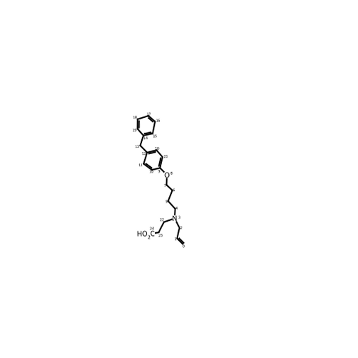 C=CCN(CCCCOc1ccc(Cc2ccccc2)cc1)CCC(=O)O